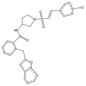 O=C(NC1CCN(S(=O)(=O)/C=C/c2ccc(Cl)cc2)C1)c1ccccc1Cc1cc2ccccc2o1